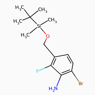 CC(C)(C)[Si](C)(C)OCc1ccc(Br)c(N)c1F